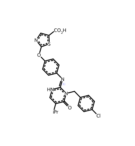 CC(C)c1c[nH]/c(=N\c2ccc(Oc3ncc(C(=O)O)s3)cc2)n(Cc2ccc(Cl)cc2)c1=O